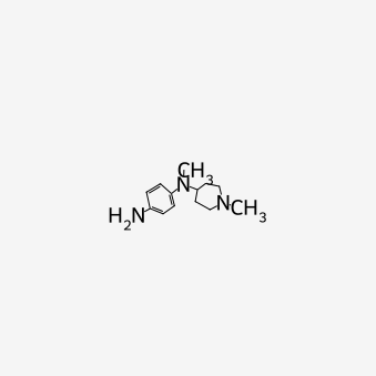 CN1CCC(N(C)c2ccc(N)cc2)CC1